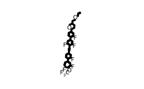 C=CCOCCC1CCC(c2ccc(-c3cc(F)c(C#Cc4ccc(C5=CC(F)=C(OC(F)(F)F)C(F)C=C5)c(F)c4)c(F)c3)c(F)c2)OC1